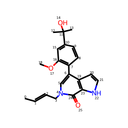 C/C=C/Cn1cc(-c2ccc(C(C)(C)O)cc2OC)c2cc[nH]c2c1=O